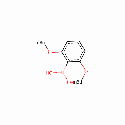 CCCCOc1cccc(OCCCC)c1B(O)O